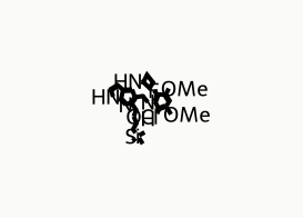 COc1cc(OC)c(Cl)c(NCc2c(COCC[Si](C)(C)C)nc3[nH]ccc3c2NC2CCC2)c1F